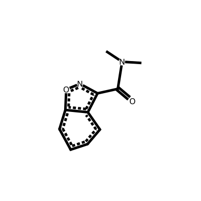 CN(C)C(=O)c1noc2ccccc12